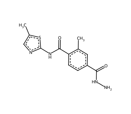 Cc1cnc(NC(=O)c2ccc(C(=O)NN)cc2C)s1